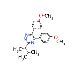 COc1ccc(-c2nnc(C(C)C(C)C)nc2-c2ccc(OC)cc2)cc1